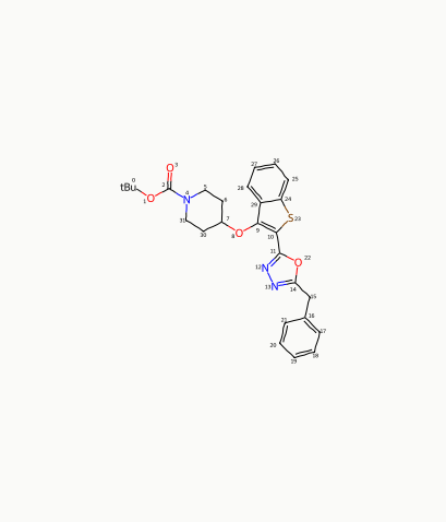 CC(C)(C)OC(=O)N1CCC(Oc2c(-c3nnc(Cc4ccccc4)o3)sc3ccccc23)CC1